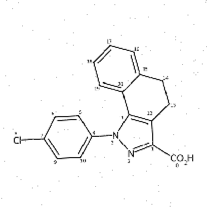 O=C(O)c1nn(-c2ccc(Cl)cc2)c2c1CCc1ccccc1-2